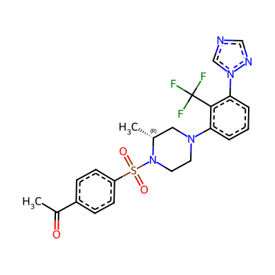 CC(=O)c1ccc(S(=O)(=O)N2CCN(c3cccc(-n4cncn4)c3C(F)(F)F)C[C@H]2C)cc1